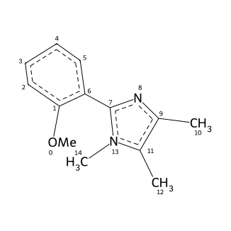 COc1ccccc1-c1nc(C)c(C)n1C